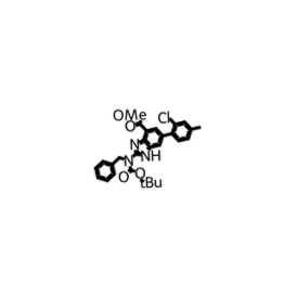 COC(=O)c1cc(-c2ccc(C)cc2Cl)cc2[nH]c(N(Cc3ccccc3)C(=O)OC(C)(C)C)nc12